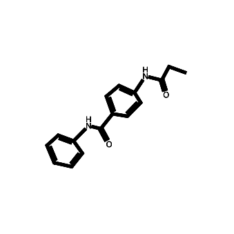 CCC(=O)Nc1ccc(C(=O)Nc2ccccc2)cc1